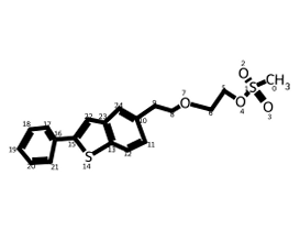 CS(=O)(=O)OCCOCCc1ccc2sc(-c3ccccc3)cc2c1